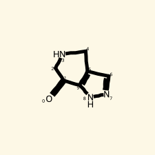 O=C1CNCc2cn[nH]c21